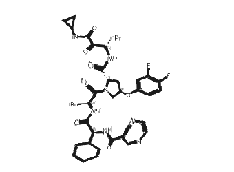 CCC[C@H](NC(=O)[C@@H]1C[C@@H](Oc2ccc(F)c(F)c2)CN1C(=O)[C@@H](NC(=O)[C@@H](NC(=O)c1cnccn1)C1CCCCC1)C(C)(C)C)C(=O)C(=O)NC1CC1